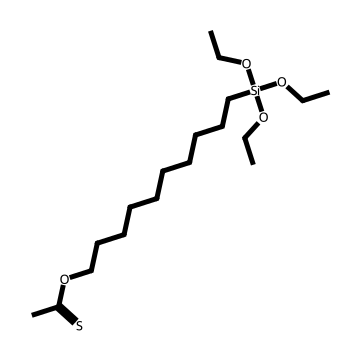 CCO[Si](CCCCCCCCCCOC(C)=S)(OCC)OCC